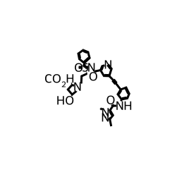 Cc1cc(C(=O)Nc2cccc(C#Cc3cncc(C(=O)N=[S@](=O)(CCCN4C[C@@H](O)C[C@@H]4C(=O)O)c4ccccc4)c3)c2)n(C)n1